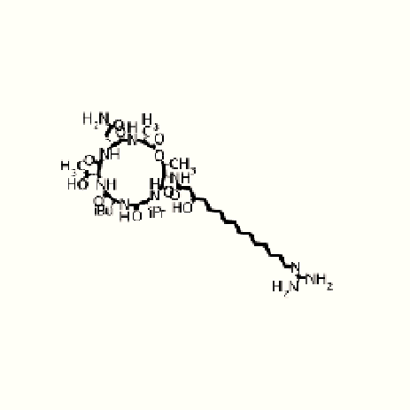 CC[C@H](C)[C@@H]1NC(=O)[C@@H](C(C)C)NC(=O)[C@@H](NC(=O)CC(O)CCCCCCCCCCCCN=C(N)N)[C@@H](C)OC(=O)[C@@H](C)NC(=O)[C@@H](CC(N)=O)NC(=O)[C@@H](C(C)O)NC1=O